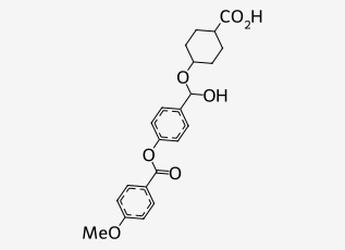 COc1ccc(C(=O)Oc2ccc(C(O)OC3CCC(C(=O)O)CC3)cc2)cc1